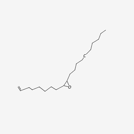 C=CCCCCCCC1OC1CCCCCCCCCC